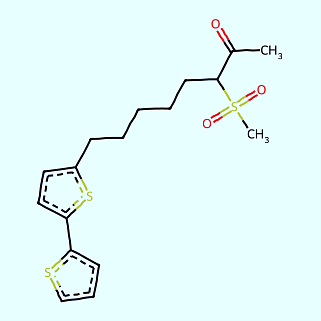 CC(=O)C(CCCCCc1ccc(-c2cccs2)s1)S(C)(=O)=O